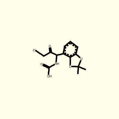 CC1(C)Oc2cccc(C(NC(=O)O)C(=O)CCl)c2O1